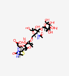 CC(=O)N[C@H]1C(C)(COC[C@]2(C)OC(C)(CO)[C@](C)(O)C(C)(O)C2(C)O)[C@H](O)C(C)(CO)O[C@@]1(C)COCC1(C)C(C)(C)OC(C)([C@H](CCCC(=O)O)C2SC[C@@H]3NC(=O)N[C@H]23)C(O)C1(C)O